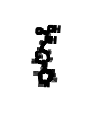 O=C(O)NCC1CCN(c2ccncn2)CC1